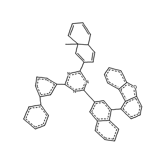 CC12C=CC=CC1C=CC(c1nc(-c3cccc(-c4ccccc4)c3)nc(-c3cc(-c4cccc5oc6ccccc6c45)c4ccccc4c3)n1)=C2